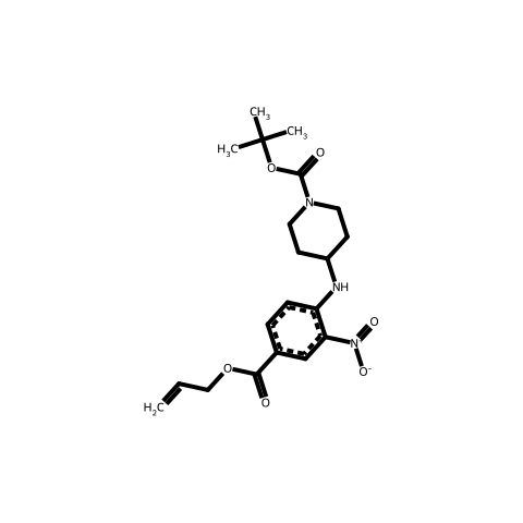 C=CCOC(=O)c1ccc(NC2CCN(C(=O)OC(C)(C)C)CC2)c([N+](=O)[O-])c1